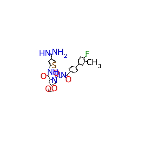 Cc1cc(-c2ccc(C(=O)NCC(=O)N3CC4(CC3C(=O)NCc3cc(C(=N)N)cs3)OCCO4)cc2)ccc1F